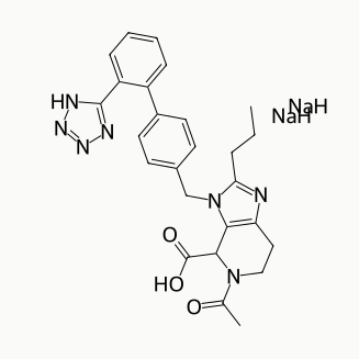 CCCc1nc2c(n1Cc1ccc(-c3ccccc3-c3nnn[nH]3)cc1)C(C(=O)O)N(C(C)=O)CC2.[NaH].[NaH]